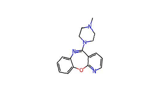 CN1CCN(C2=Nc3ccccc3Oc3ncccc32)CC1